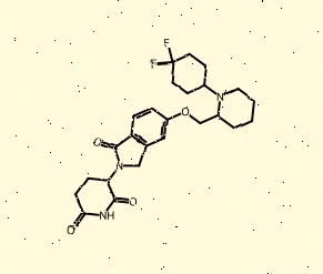 O=C1CCC(N2Cc3cc(OCC4CCCCN4C4CCC(F)(F)CC4)ccc3C2=O)C(=O)N1